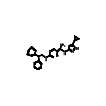 C=C(/N=C\C(Br)=C(/N)Nc1cc(C2CC2)[nH]n1)NCC(c1ccccc1)c1ccccc1